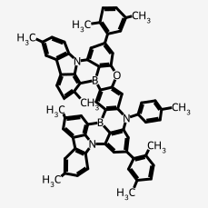 Cc1ccc(N2c3cc4c(cc3B3c5c2cc(-c2cc(C)ccc2C)cc5-n2c5ccc(C)cc5c5cc(C)cc3c52)B2c3c(cc(-c5cc(C)ccc5C)cc3-n3c5ccc(C)cc5c5ccc(C)c2c53)O4)cc1